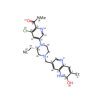 CCC1=Cc2ncc(CN3CCN(c4cnc(C(=O)NC)c(Cl)c4)[C@@H](CC#N)C3)cc2NC1O